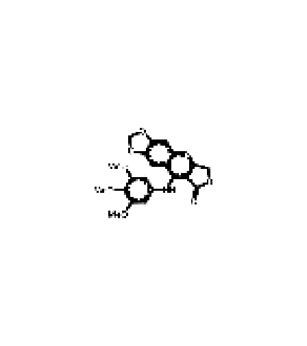 COc1cc(Nc2c3c(nc4cc5c(cc24)OCO5)COC3=O)cc(OC)c1OC